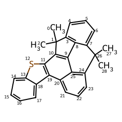 CC1(C)c2cccc3c2-c2c1c1sc4ccccc4c1c1cccc(c21)C3(C)C